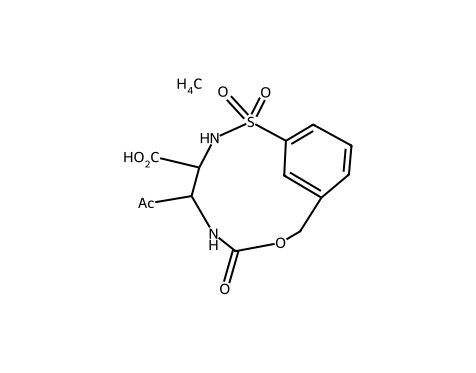 C.CC(=O)C1NC(=O)OCc2cccc(c2)S(=O)(=O)NC1C(=O)O